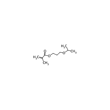 C=C(C)C(=O)OCCCOC(C)C